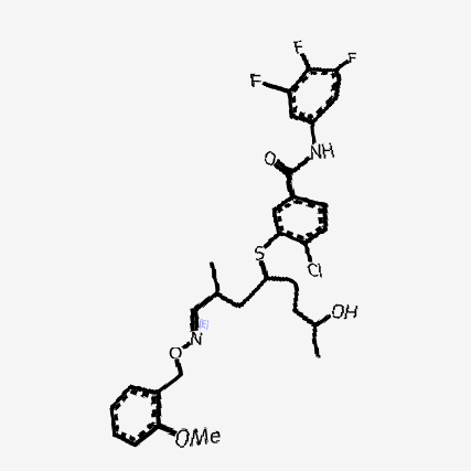 COc1ccccc1CO/N=C/C(C)CC(CCC(C)O)Sc1cc(C(=O)Nc2cc(F)c(F)c(F)c2)ccc1Cl